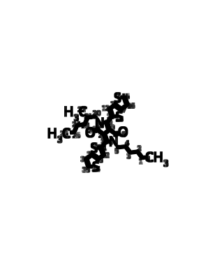 CCCCCCN1C(=O)C2=C(c3cc4sccc4s3)N(CC(C)CCCC)C(=O)C2=C1c1cc2sccc2s1